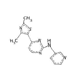 Cc1nc(C)c(-c2ccnc(Nc3cccnc3)n2)s1